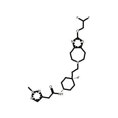 Cn1ncc(CC(=O)N[C@H]2CC[C@](F)(CCN3CCc4nc(OCC(F)F)sc4CC3)CC2)n1